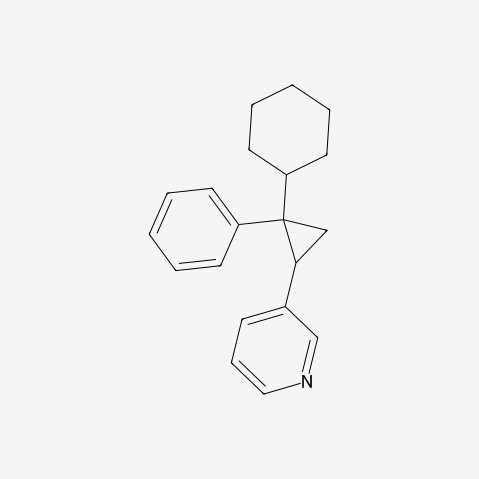 c1ccc(C2(C3CCCCC3)CC2c2cccnc2)cc1